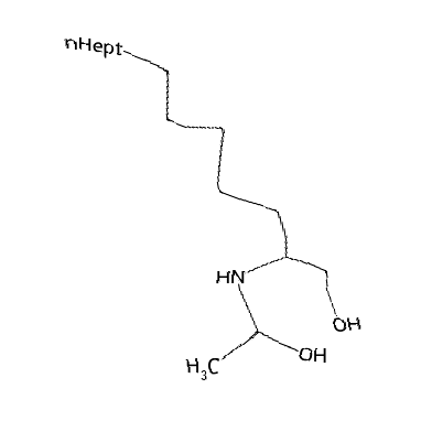 CCCCCCCCCCCCC(CO)NC(C)O